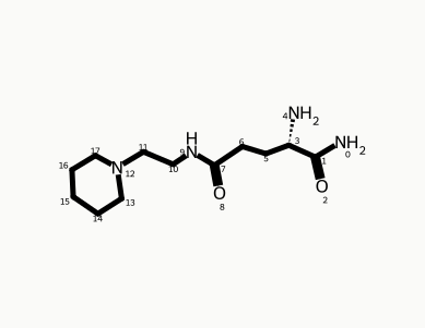 NC(=O)[C@@H](N)CCC(=O)NCCN1CCCCC1